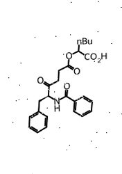 CCCCC(OC(=O)CCC(=O)[C@H](Cc1ccccc1)NC(=O)c1ccccc1)C(=O)O